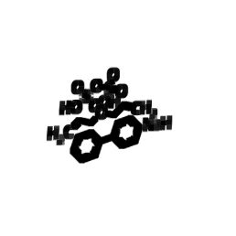 C=CCOCC=C.O=S(=O)(O)OS(=O)(=O)O.[NaH].c1ccc(-c2ccccc2)cc1